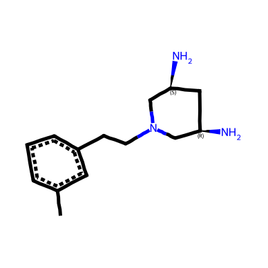 Cc1cccc(CCN2C[C@H](N)C[C@H](N)C2)c1